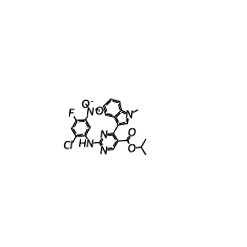 CC(C)OC(=O)c1cnc(Nc2cc([N+](=O)[O-])c(F)cc2Cl)nc1-c1cn(C)c2ccccc12